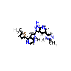 Cc1ccc(-c2nccc3[nH]c(-c4n[nH]c5ncc(-c6cnc(C)n6C)cc45)cc23)s1